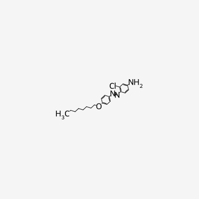 CCCCCCCCOc1ccc(N=Nc2ccc(N)cc2Cl)cc1